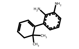 CC1(C)CC=CC=C1c1cccc(N)c1N